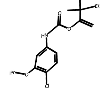 C=C(OC(=O)Nc1ccc(Cl)c(OC(C)C)c1)C(C)(C)CC